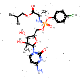 CCC(CC)COC(=O)[C@H](C)NP(=O)(OC[C@H]1OC(n2ccc(N)nc2=O)[C@](C)(O)[C@@H]1O)Oc1ccc(Cl)cc1